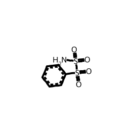 NS(=O)(=O)S(=O)(=O)c1ccccc1